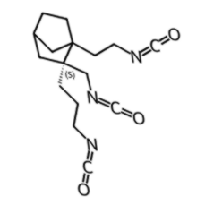 O=C=NCCC[C@]1(CN=C=O)CC2CCC1(CCN=C=O)C2